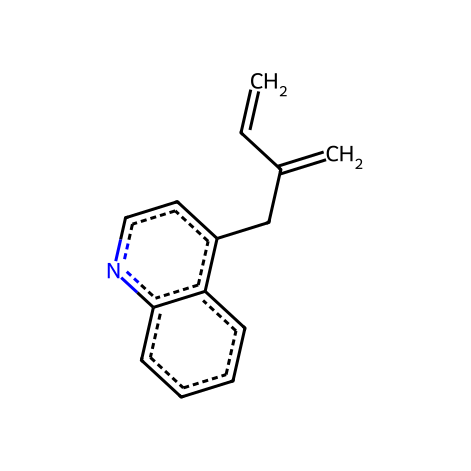 C=CC(=C)Cc1ccnc2ccccc12